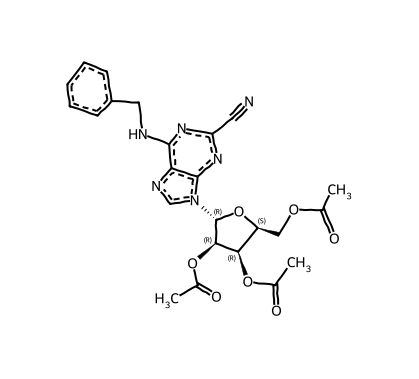 CC(=O)OC[C@@H]1O[C@@H](n2cnc3c(NCc4ccccc4)nc(C#N)nc32)[C@H](OC(C)=O)[C@@H]1OC(C)=O